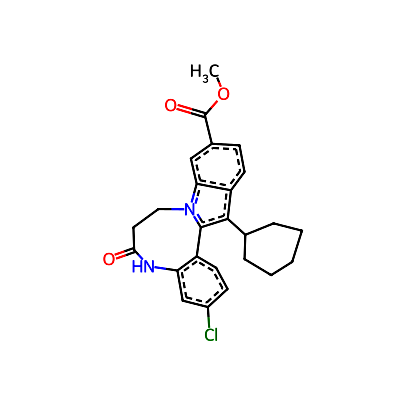 COC(=O)c1ccc2c(C3CCCCC3)c3n(c2c1)CCC(=O)Nc1cc(Cl)ccc1-3